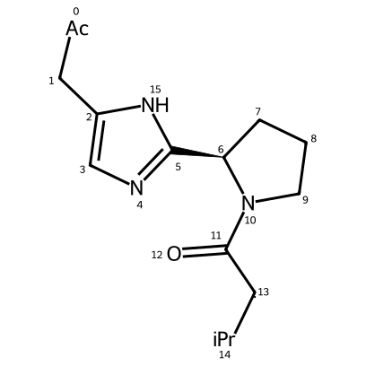 CC(=O)Cc1cnc([C@H]2CCCN2C(=O)[CH]C(C)C)[nH]1